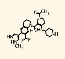 CN/C=C(\C=N)c1cc2c(cc1C(F)F)N(C(=N)C1=C(NC3CCNCC3)CCN(C(C)=O)C1)CCC2